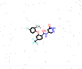 Cc1cc(F)ccc1Oc1cc(C(F)(F)F)ccc1C(O)Nc1cn[nH]c(=O)c1